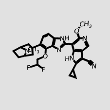 COc1ncc2c(C#N)c(C3CC3)[nH]c2c1-c1nc2c(OCC(F)F)c(C3CC4CCC(C3)N4C)ccc2[nH]1